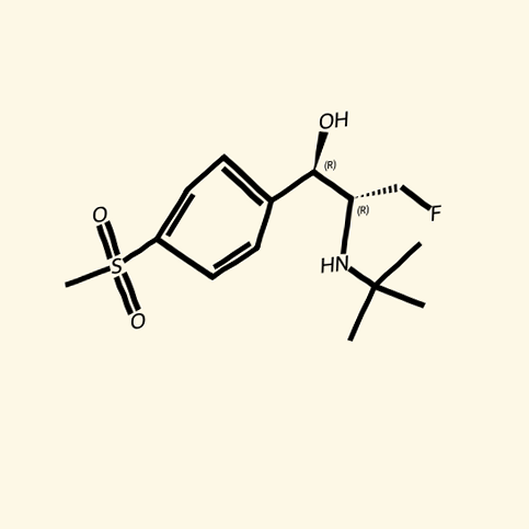 CC(C)(C)N[C@@H](CF)[C@H](O)c1ccc(S(C)(=O)=O)cc1